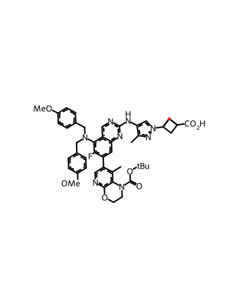 COc1ccc(CN(Cc2ccc(OC)cc2)c2c(F)c(-c3cnc4c(c3C)N(C(=O)OC(C)(C)C)CCO4)cc3nc(Nc4cn(C56CC(C(=O)O)(C5)C6)nc4C)ncc23)cc1